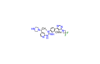 COc1c(-c2ccc3nc(Nc4cc(C(C)N5CCNCC5)ccn4)[nH]c3c2)ncnc1N1CC(F)(F)C1